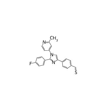 Cc1cc(-n2cc(-c3ccc(C=S)cc3)nc2-c2ccc(F)cc2)ccn1